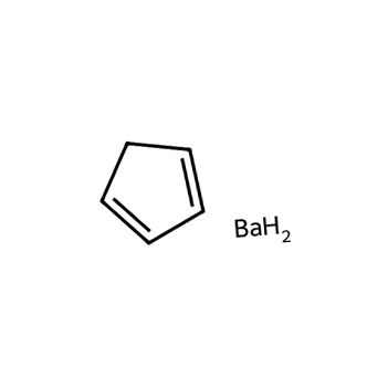 C1=CCC=C1.[BaH2]